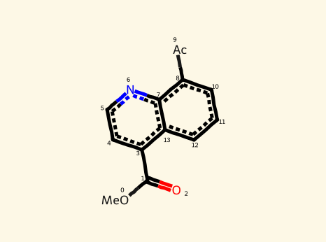 COC(=O)c1ccnc2c(C(C)=O)cccc12